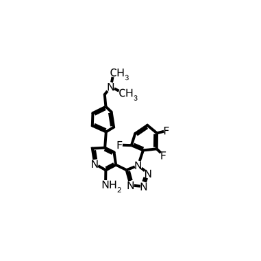 CN(C)Cc1ccc(-c2cnc(N)c(-c3nnnn3-c3c(F)ccc(F)c3F)c2)cc1